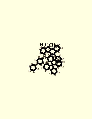 CC1(C)c2cccc(N(c3ccc(-c4ccccc4)cc3)c3ccc4c(c3)C(c3ccccc3)(c3ccccc3)c3ccccc3-4)c2-c2cc(-c3ccccc3)c3ccccc3c21